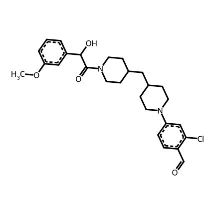 COc1cccc(C(O)C(=O)N2CCC(CC3CCN(c4ccc(C=O)c(Cl)c4)CC3)CC2)c1